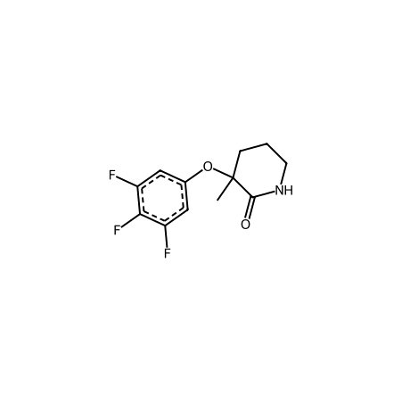 CC1(Oc2cc(F)c(F)c(F)c2)CCCNC1=O